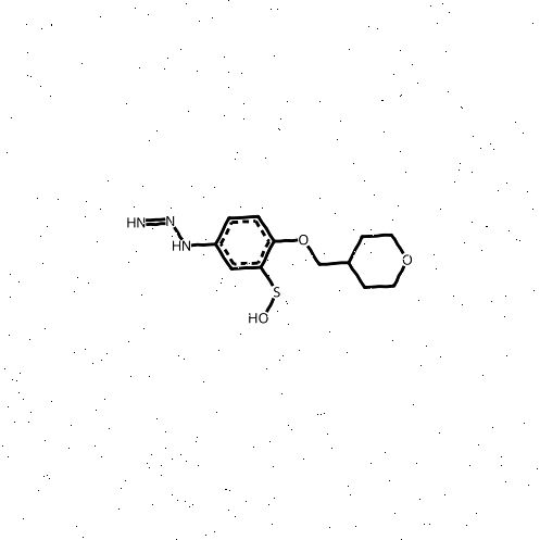 N=NNc1ccc(OCC2CCOCC2)c(SO)c1